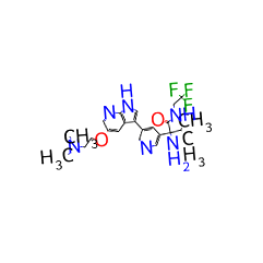 CC(C)C(N)(C(=O)NCC(F)(F)F)c1cncc(-c2c[nH]c3ncc(OCCN(C)C)cc23)c1